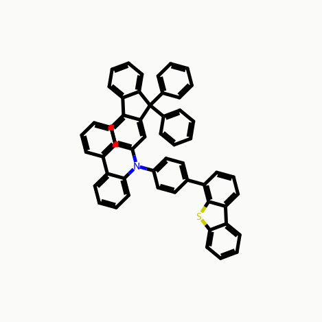 c1ccc(-c2ccccc2N(c2ccc(-c3cccc4c3sc3ccccc34)cc2)c2ccc3c(c2)C(c2ccccc2)(c2ccccc2)c2ccccc2-3)cc1